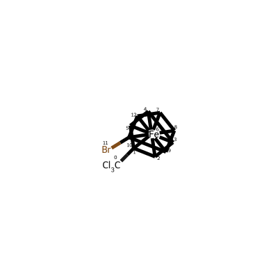 ClC(Cl)(Cl)[C]12[CH]3[CH]4[CH]5[CH]1[Fe]45321678[CH]2[CH]1[CH]6[C]7(Br)[CH]28